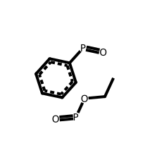 CCOP=O.O=Pc1ccccc1